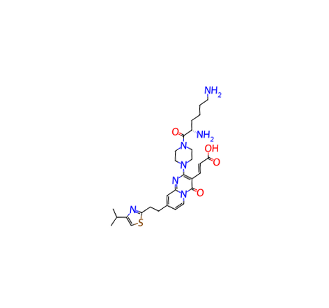 CC(C)c1csc(CCc2ccn3c(=O)c(/C=C/C(=O)O)c(N4CCN(C(=O)[C@@H](N)CCCCN)CC4)nc3c2)n1